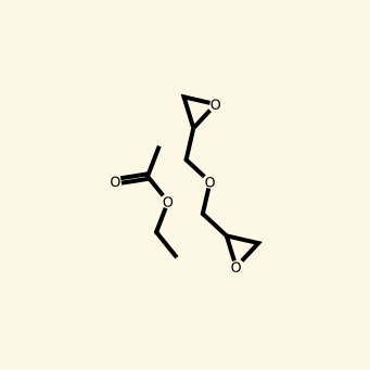 C(OCC1CO1)C1CO1.CCOC(C)=O